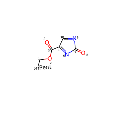 CCCCCCOC(=O)C1=NC(=O)N=C1